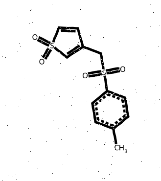 Cc1ccc(S(=O)(=O)CC2=CS(=O)(=O)C=C2)cc1